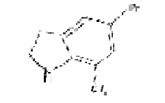 Cc1cc(C(C)C)cc2c1NCC2